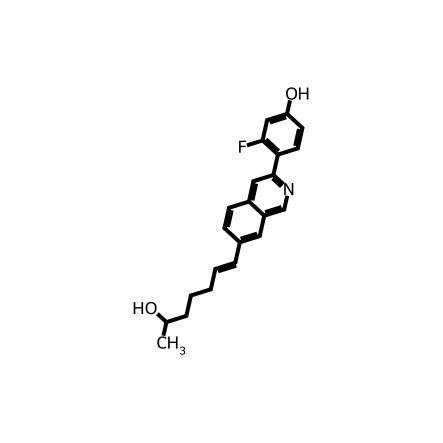 CC(O)CCCC=Cc1ccc2cc(-c3ccc(O)cc3F)ncc2c1